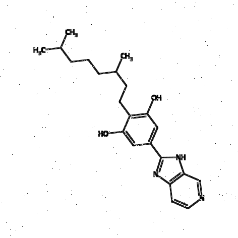 CC(C)CCCC(C)CCc1c(O)cc(-c2nc3ccncc3[nH]2)cc1O